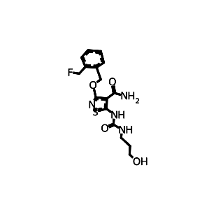 NC(=O)c1c(OCc2ccccc2CF)nsc1NC(=O)NCCCO